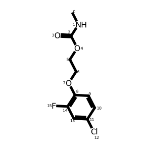 CNC(=O)OCCOc1ccc(Cl)cc1F